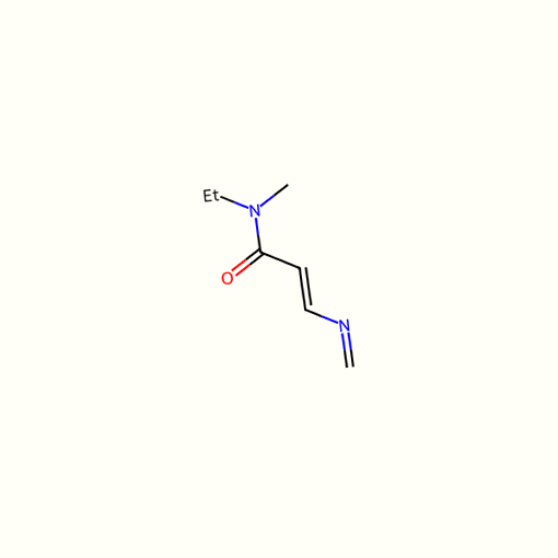 C=N/C=C/C(=O)N(C)CC